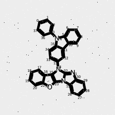 c1ccc(-n2c3ccccc3c3cc(-n4c5c6ccccc6oc5n5c6ccccc6nc45)ccc32)cc1